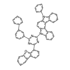 c1ccc(-c2cccc(-c3nc(-c4cccc5c4oc4ccccc45)nc(-n4c5ccccc5c5c6c7ccccc7n(-c7ccccc7)c6ccc54)n3)c2)cc1